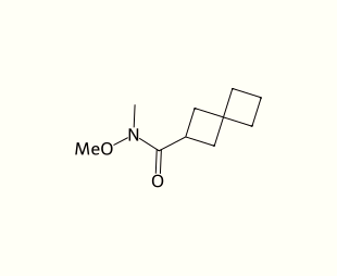 CON(C)C(=O)C1CC2(CCC2)C1